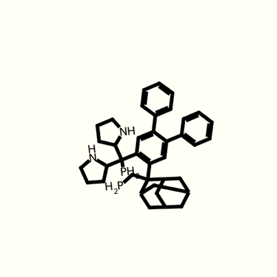 PCC1(c2cc(-c3ccccc3)c(-c3ccccc3)cc2C(P)(C2CCCN2)C2CCCN2)C2CC3CC(C2)CC1C3